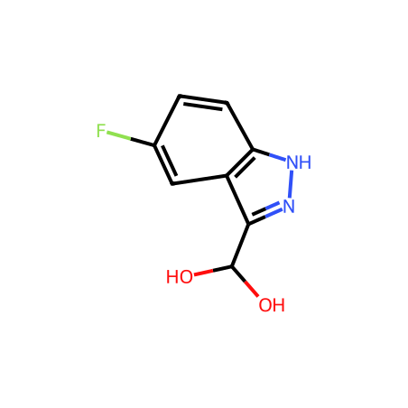 OC(O)c1n[nH]c2ccc(F)cc12